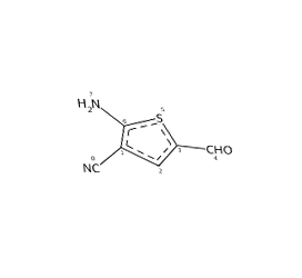 N#Cc1cc(C=O)sc1N